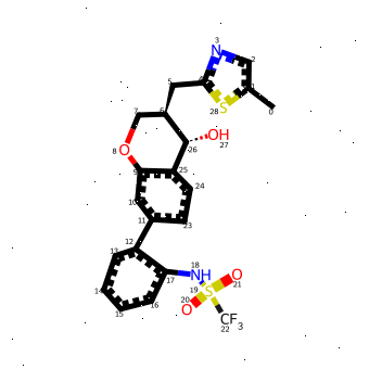 Cc1cnc(C[C@@H]2COc3cc(-c4ccccc4NS(=O)(=O)C(F)(F)F)ccc3[C@H]2O)s1